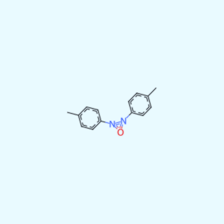 Cc1ccc(-n2on2-c2ccc(C)cc2)cc1